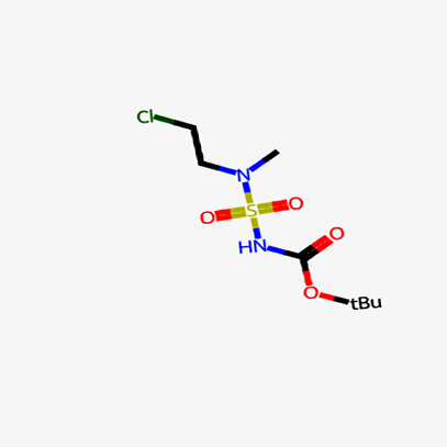 CN(CCCl)S(=O)(=O)NC(=O)OC(C)(C)C